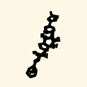 Cn1cc(-c2cn3nc4c5ncc(NC(=O)CCN6CC7CCC6CC7)cc5[nH]c(=O)c4c3s2)cn1